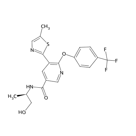 Cc1cnc(-c2cc(C(=O)N[C@H](C)CO)cnc2Oc2ccc(C(F)(F)F)cc2)s1